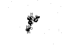 C=CC(=O)N1CCC[C@@H](Nc2n[nH]c3nccc(-c4ccc(CNC(=O)c5cc(C(C)C)on5)c(F)c4)c23)[C@H]1C